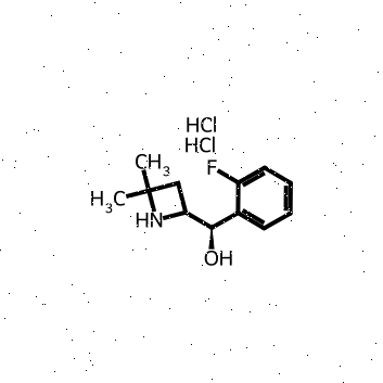 CC1(C)CC([C@H](O)c2ccccc2F)N1.Cl.Cl